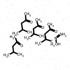 CC(=O)CC(C)C.CC(=O)CC(C)C.CC(=O)CC(C)C.CC(=O)CC(C)C.ON=[SiH2]